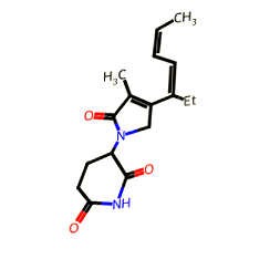 C/C=C\C=C(\CC)C1=C(C)C(=O)N(C2CCC(=O)NC2=O)C1